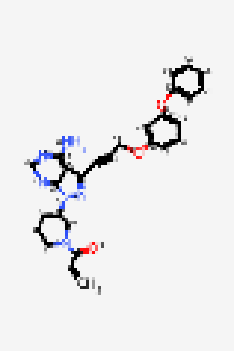 C=CC(=O)N1CCCC(n2nc(C#CCOc3cccc(Oc4ccccc4)c3)c3c(N)ncnc32)C1